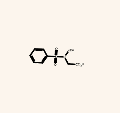 CCCCN(CC(=O)O)S(=O)(=O)c1ccccc1